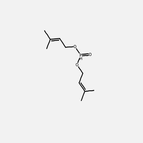 CC(C)=CCO[PH](=O)OCC=C(C)C